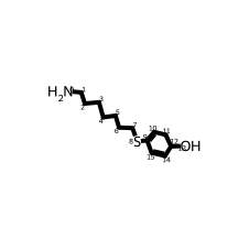 NCCCCCCCSC1=CCC(O)C=C1